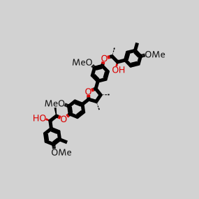 COc1ccc([C@@H](O)[C@@H](C)Oc2ccc(C3OC(c4ccc(O[C@H](C)[C@H](O)c5ccc(OC)c(C)c5)c(OC)c4)[C@H](C)[C@@H]3C)cc2OC)cc1C